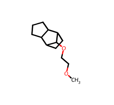 COCCOC1C2CCC1C1CCCC12